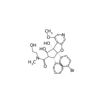 COc1cncc2c1[C@]1(O)[C@H](O)C(C(=O)N(C)CCO)[C@@H](c3ccccc3)[C@]1(c1ccc(Br)cc1)O2